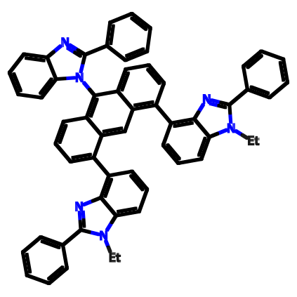 CCn1c(-c2ccccc2)nc2c(-c3cccc4c(-n5c(-c6ccccc6)nc6ccccc65)c5cccc(-c6cccc7c6nc(-c6ccccc6)n7CC)c5cc34)cccc21